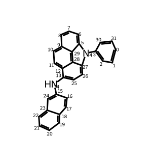 c1ccc(-n2c3cccc4ccc5c(Nc6ccc7ccccc7c6)ccc2c5c43)cc1